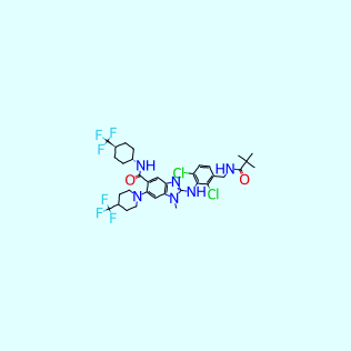 Cn1c(Nc2c(Cl)ccc(CNC(=O)C(C)(C)C)c2Cl)nc2cc(C(=O)N[C@H]3CC[C@H](C(F)(F)F)CC3)c(N3CCC(C(F)(F)F)CC3)cc21